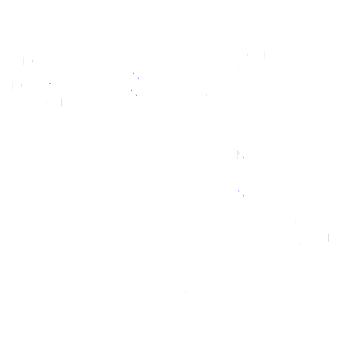 CC1(C)CC(c2ccc(Cl)cc2)=C(CN2CCN(c3ccc(C(=O)O)c(Oc4cccc5c4cnn5COCC[Si](C)(C)C)c3)CC2)CO1